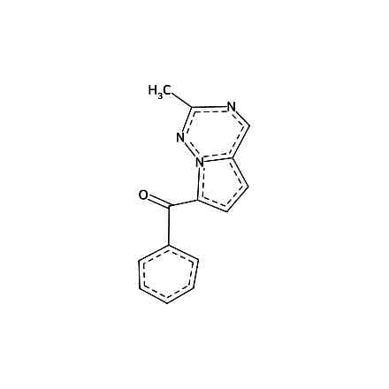 Cc1ncc2ccc(C(=O)c3ccccc3)n2n1